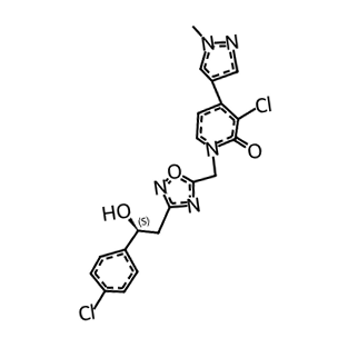 Cn1cc(-c2ccn(Cc3nc(C[C@H](O)c4ccc(Cl)cc4)no3)c(=O)c2Cl)cn1